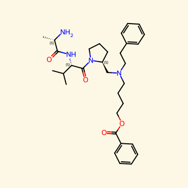 CC(C)[C@H](NC(=O)[C@H](C)N)C(=O)N1CCC[C@H]1CN(CCCCOC(=O)c1ccccc1)CCc1ccccc1